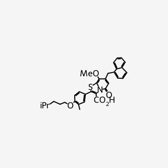 COc1c(Cc2cccc3ccccc23)cc(=O)n2c(C(=O)O)c(-c3ccc(OCCCC(C)C)c(C)c3)sc12